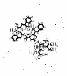 C=C(O)[C@H](N)C(=O)N[C@@H](CSSC[C@H](NC(=O)[C@H](N)Cc1ccccc1)C(=O)N[C@@H](Cc1ccccc1)C(=O)N[C@H](Cc1c[nH]c2ccccc12)C(N)=O)C(=O)N[C@H](CO)[C@@H](C)O